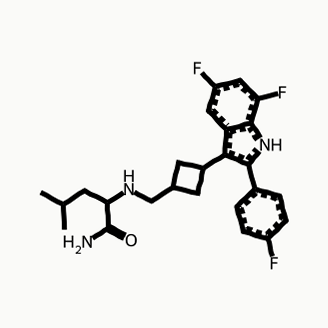 CC(C)CC(NCC1CC(c2c(-c3ccc(F)cc3)[nH]c3c(F)cc(F)cc23)C1)C(N)=O